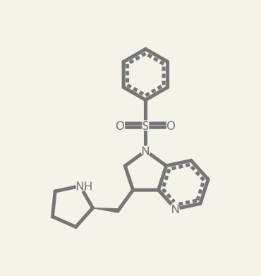 O=S(=O)(c1ccccc1)N1CC(C[C@H]2CCCN2)c2ncccc21